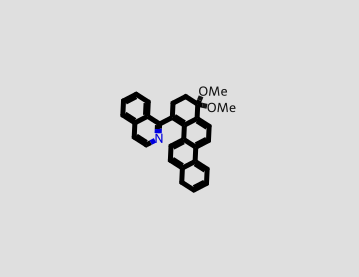 COC1(OC)CCC(c2nccc3ccccc23)=c2c1ccc1c3c(ccc21)CC=CC=3